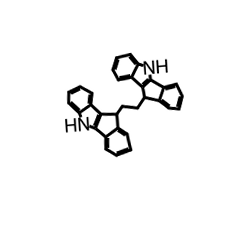 c1ccc2c(c1)-c1[nH]c3ccccc3c1C2CCC1c2ccccc2-c2[nH]c3ccccc3c21